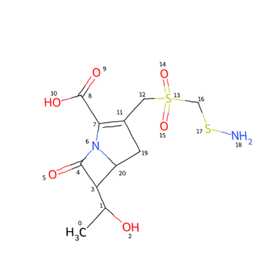 CC(O)C1C(=O)N2C(C(=O)O)=C(CS(=O)(=O)CSN)CC12